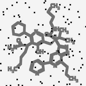 CCCCNC(=O)[C@](Cc1cnc(C2CCCCC2)c(C(CCCC)C(N)=O)c1O)(c1nnc2c(CCC)nc(-c3cccnc3)cn12)C(C)C